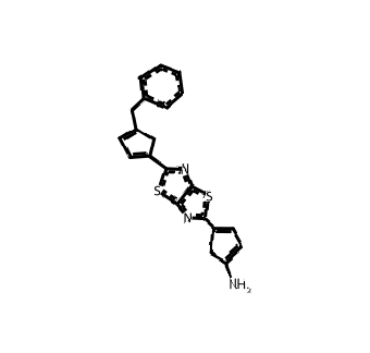 NC1=CC=C(c2nc3sc(C4=CC=C(Cc5ccccc5)C4)nc3s2)C1